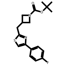 CC(C)(C)OC(=O)N1CC(Cc2nc(-c3ccc(F)cc3)cs2)C1